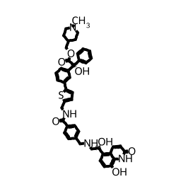 CN1CCC(COC(=O)[C@](O)(c2ccccc2)c2cccc(-c3ccc(CNC(=O)c4ccc(CNC[C@H](O)c5ccc(O)c6[nH]c(=O)ccc56)cc4)s3)c2)CC1